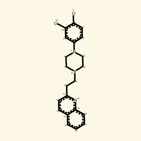 Clc1ccc(N2CCN(CCc3ccc4ccccc4n3)CC2)cc1Cl